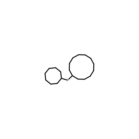 C1CCCCCC([P]C2CCCCCCC2)CCCCC1